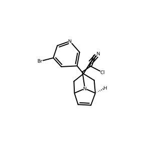 C=C(Cl)CN1C2C=C[C@@H]1CC(C#N)(c1cncc(Br)c1)C2